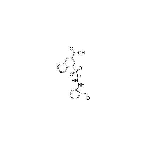 O=Cc1ccccc1NNOS(=O)(=O)c1cc(C(=O)O)cc2ccccc12